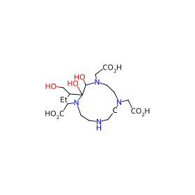 CCC(CO)C1(O)C(O)N(CC(=O)O)CCN(CC(=O)O)CCNCCN1CC(=O)O